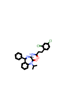 CC(C)N1C(=O)[C@H](NC(=O)CCc2ccc(Cl)cc2Cl)N=C(c2ccccc2)c2ccccc21